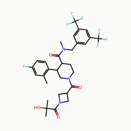 Cc1cc(F)ccc1C1CN(C(=O)C2CN(C(=O)C(C)(C)O)C2)CCC1C(=O)N(C)Cc1cc(C(F)(F)F)cc(C(F)(F)F)c1